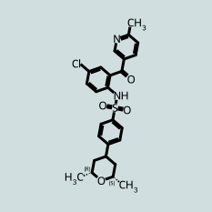 Cc1ccc(C(=O)c2cc(Cl)ccc2NS(=O)(=O)c2ccc(C3C[C@@H](C)O[C@@H](C)C3)cc2)cn1